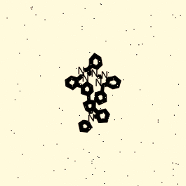 c1ccc(-c2nc(-n3c4ccccc4c4nc5c6ccccc6c6cc(-c7ccc8c(c7)c7ccccc7n8-c7ccccc7)ccc6n5c43)nc3ccccc23)cc1